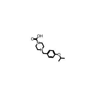 CC(C)Oc1ccc(CN2CCN(C(=O)O)CC2)cc1